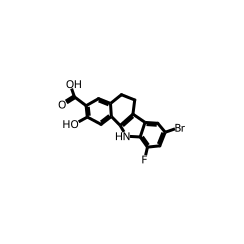 O=C(O)c1cc2c(cc1O)-c1[nH]c3c(F)cc(Br)cc3c1CC2